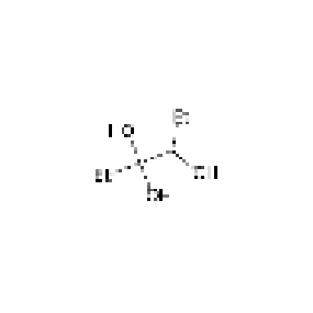 CCC(O)C(O)(O)CC